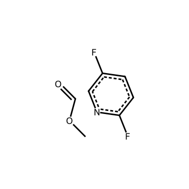 COC=O.Fc1ccc(F)nc1